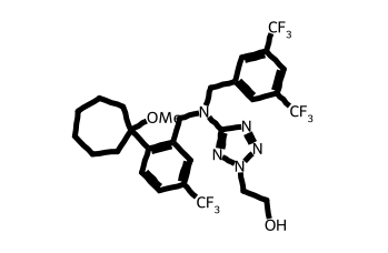 COC1(c2ccc(C(F)(F)F)cc2CN(Cc2cc(C(F)(F)F)cc(C(F)(F)F)c2)c2nnn(CCO)n2)CCCCCC1